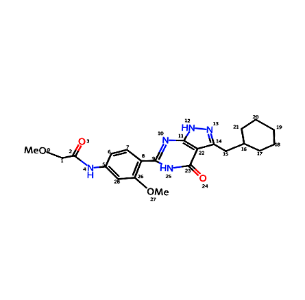 COCC(=O)Nc1ccc(-c2nc3[nH]nc(CC4CCCCC4)c3c(=O)[nH]2)c(OC)c1